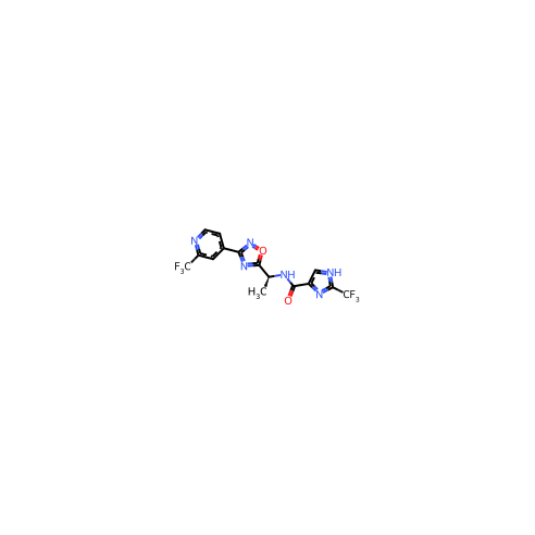 C[C@H](NC(=O)c1c[nH]c(C(F)(F)F)n1)c1nc(-c2ccnc(C(F)(F)F)c2)no1